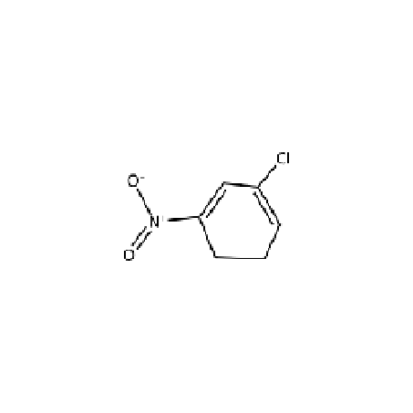 O=[N+]([O-])C1=CC(Cl)=CCC1